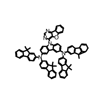 CC1(C)c2ccccc2-c2ccc(N(c3ccc4c(c3)C(C)(C)c3ccccc3-4)c3ccc4c(c3)c3cc(N(c5ccc6c(c5)C(C)(C)c5ccccc5-6)c5ccc6c(c5)C5(C)C7=C6C=CCC75)ccc3n4-c3ncnc4c3oc3ccccc34)cc21